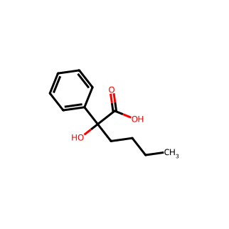 CCCCC(O)(C(=O)O)c1ccccc1